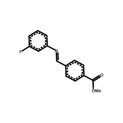 COC(=O)c1ccc(C=Nc2cccc(F)c2)cc1